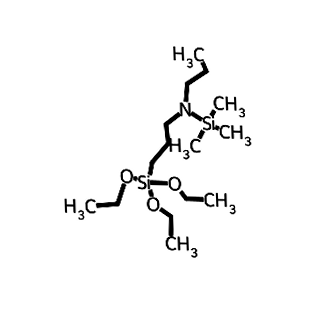 CCCN(CCC[Si](OCC)(OCC)OCC)[Si](C)(C)C